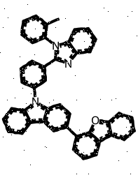 Cc1ccccc1-n1c(-c2cccc(-n3c4ccccc4c4cc(-c5cccc6c5oc5ccccc56)ccc43)c2)nc2ccccc21